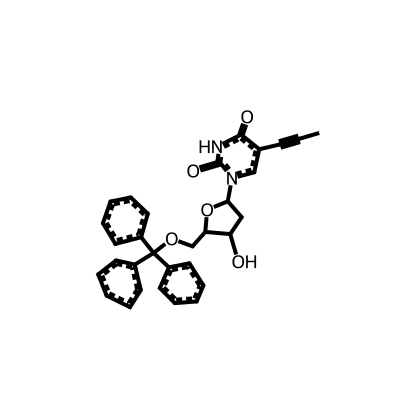 CC#Cc1cn(C2CC(O)C(COC(c3ccccc3)(c3ccccc3)c3ccccc3)O2)c(=O)[nH]c1=O